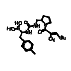 Cc1ccc(C[C@H](NC(=O)NC[C@H]2CCCN2C(=O)C(C#N)=CC(C)(C)C)B(O)O)cc1